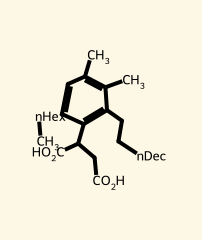 CCCCCCC.CCCCCCCCCCCCc1c(C(CC(=O)O)C(=O)O)ccc(C)c1C